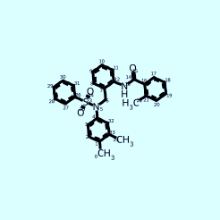 Cc1ccc(N(Cc2ccccc2NC(=O)c2ccccc2C)S(=O)(=O)c2ccccc2)cc1C